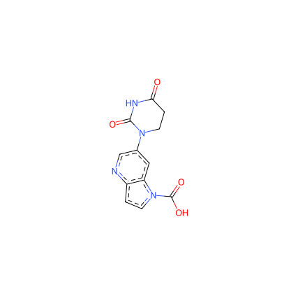 O=C1CCN(c2cnc3ccn(C(=O)O)c3c2)C(=O)N1